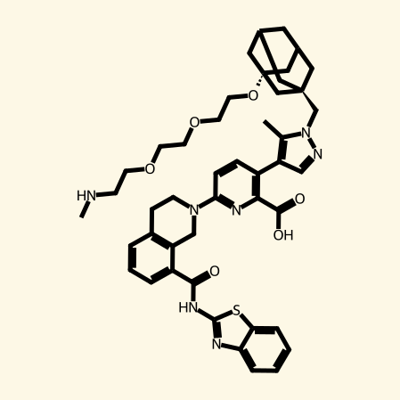 CNCCOCCOCCO[C@]12CC3CC(C[C@](Cn4ncc(-c5ccc(N6CCc7cccc(C(=O)Nc8nc9ccccc9s8)c7C6)nc5C(=O)O)c4C)(C3)C1)C2